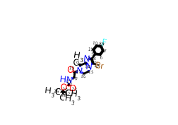 CC1c2nc(-c3ccc(F)cc3)c(Br)n2CCN1C(=O)CNC(=O)OC(C)(C)C